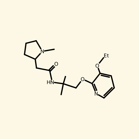 CCOc1cccnc1OCC(C)(C)NC(=O)CC1CCCN1C